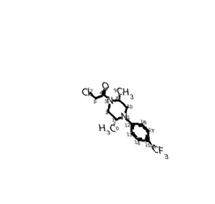 C[C@@H]1CN(C(=O)CCl)[C@@H](C)CN1c1ccc(C(F)(F)F)cc1